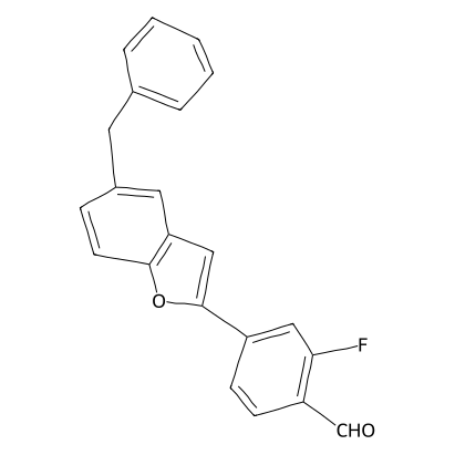 O=Cc1ccc(-c2cc3cc(Cc4ccccc4)ccc3o2)cc1F